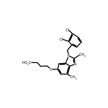 Cc1cc(OCCCC(=O)O)cc2c1nc(C)n2Cc1cccc(Cl)c1Cl